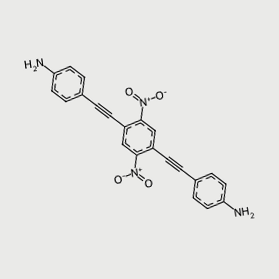 Nc1ccc(C#Cc2cc([N+](=O)[O-])c(C#Cc3ccc(N)cc3)cc2[N+](=O)[O-])cc1